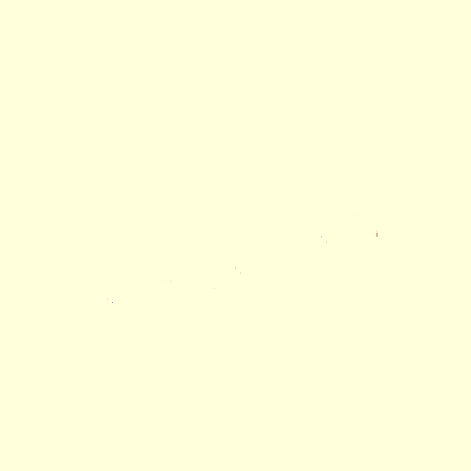 CC(C)[C@@H](C(=O)OC(C)(C)C)N(C)C(=O)C1CN(C(=O)/C=C/CN(C)C)C1